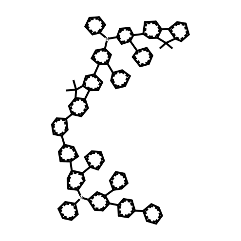 CC1(C)c2ccccc2-c2ccc(-c3ccc(N(c4ccccc4)c4ccc(-c5ccc6c(c5)C(C)(C)c5cc(-c7cccc(-c8ccc(-c9ccc(N(c%10ccccc%10)c%10ccc(-c%11ccc(-c%12ccccc%12)cc%11)c(-c%11ccccc%11)c%10)cc9-c9ccccc9)cc8)c7)ccc5-6)c(-c5ccccc5)c4)cc3-c3ccccc3)cc21